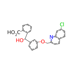 O=C(O)c1ccccc1C(O)c1cccc(OCc2ccc3ccc(Cl)cc3n2)c1